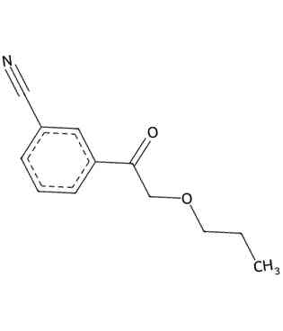 CCCOCC(=O)c1cccc(C#N)c1